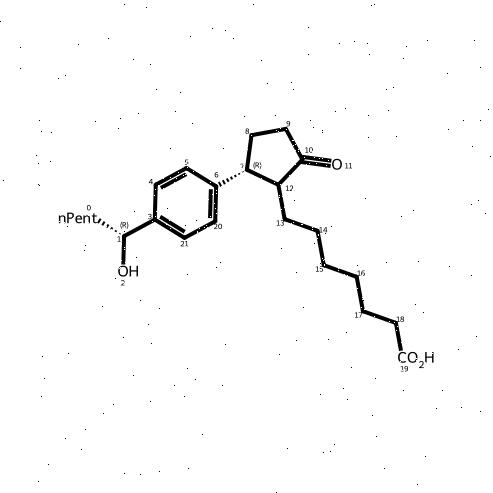 CCCCC[C@@H](O)c1ccc([C@@H]2CCC(=O)C2CCCCCCC(=O)O)cc1